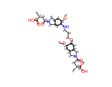 COc1cc2c(cc1NCCCOc1cc3c(cc1OC)CN(C(=O)C[C@H](C)C(=O)O)C3)CN(C(=O)C[C@H](C)C(=O)O)C2